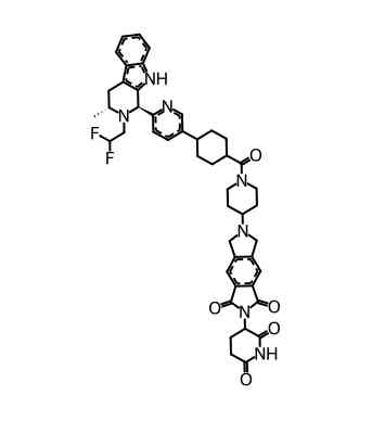 C[C@@H]1Cc2c([nH]c3ccccc23)[C@@H](c2ccc(C3CCC(C(=O)N4CCC(N5Cc6cc7c(cc6C5)C(=O)N(C5CCC(=O)NC5=O)C7=O)CC4)CC3)cn2)N1CC(F)F